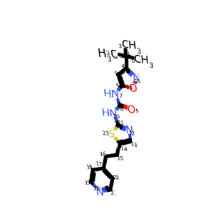 CC(C)(C)c1cc(NC(=O)Nc2ncc(CCc3ccncc3)s2)on1